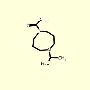 CC(=O)N1CCCN(C(C)C)CCC1